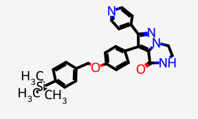 C[Si](C)(C)c1ccc(COc2ccc(-c3c(-c4ccncc4)nn4c3C(=O)NCC4)cc2)cc1